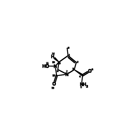 CC1=C[C@@H](C(N)=O)N2C[C@@H]1N(O)C2=O